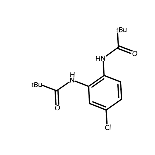 CC(C)(C)C(=O)Nc1ccc(Cl)cc1NC(=O)C(C)(C)C